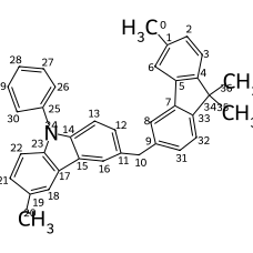 Cc1ccc2c(c1)-c1cc(Cc3ccc4c(c3)c3cc(C)ccc3n4-c3ccccc3)ccc1C2(C)C